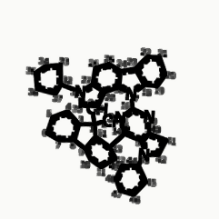 CC1(C)c2ccccc2-c2cccc(-c3nc(-n4c5ccccc5c5ccc6c(ccn6-c6ccccc6)c54)nc4ccn(-c5ccccc5)c34)c21